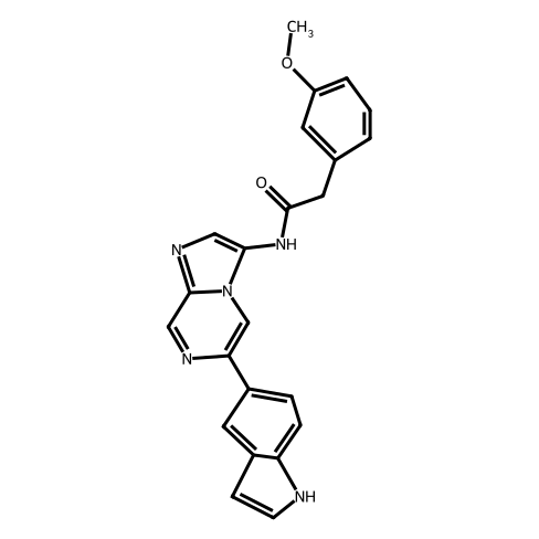 COc1cccc(CC(=O)Nc2cnc3cnc(-c4ccc5[nH]ccc5c4)cn23)c1